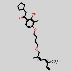 C=C/C(=C\C=C(\C)COCCCCOc1ccc(C(=O)CC2CCCC2)c(O)c1C)C(=O)O